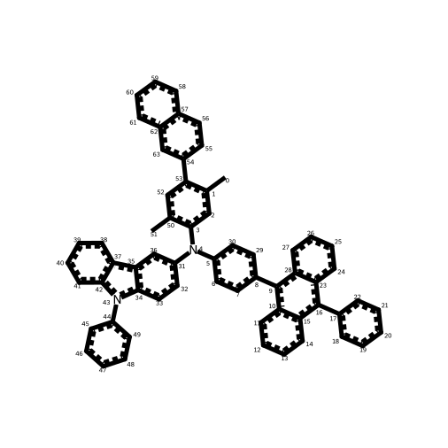 Cc1cc(N(c2ccc(-c3c4ccccc4c(-c4ccccc4)c4ccccc34)cc2)c2ccc3c(c2)c2ccccc2n3-c2ccccc2)c(C)cc1-c1ccc2ccccc2c1